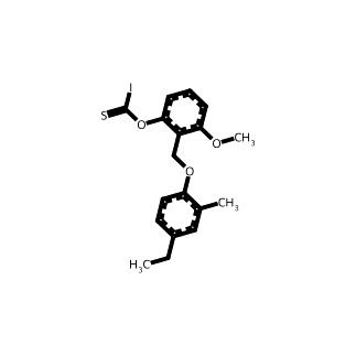 CCc1ccc(OCc2c(OC)cccc2OC(=S)I)c(C)c1